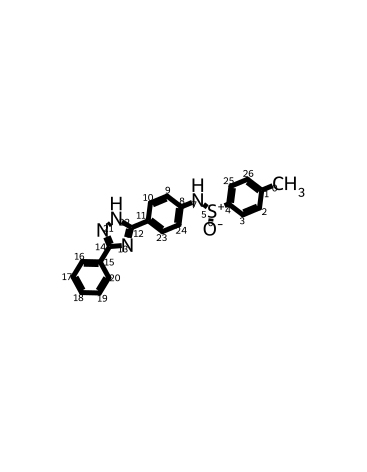 Cc1ccc([S+]([O-])Nc2ccc(-c3nc(-c4ccccc4)n[nH]3)cc2)cc1